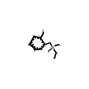 CC[N+](C)(C)Cc1ccccc1C